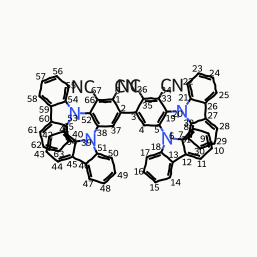 N#Cc1c(-c2cc(-n3c4ccccc4c4ccccc43)c(-n3c4ccccc4c4ccccc43)c(C#N)c2C#N)cc(-n2c3ccccc3c3ccccc32)c(-n2c3ccccc3c3ccccc32)c1C#N